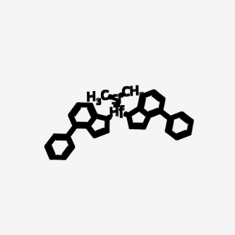 C[Si](C)=[Hf]([CH]1C=Cc2c(-c3ccccc3)cccc21)[CH]1C=Cc2c(-c3ccccc3)cccc21